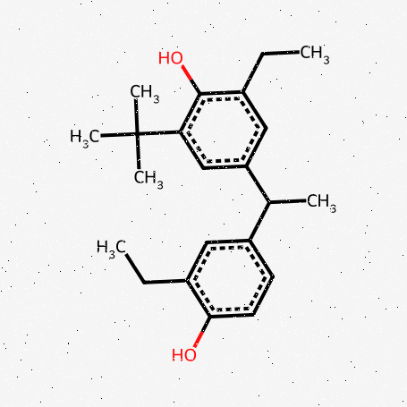 CCc1cc(C(C)c2cc(CC)c(O)c(C(C)(C)C)c2)ccc1O